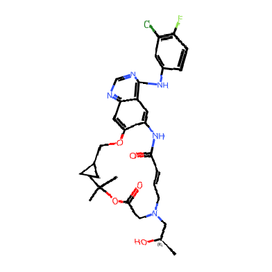 C[C@@H](O)CN(CC=CC(=O)Nc1cc2c(Nc3ccc(F)c(Cl)c3)ncnc2cc1OCC1CC1)CC(=O)OC(C)(C)C